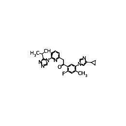 Cc1cc(F)c(C(=O)Cc2cccc(-n3cnnc3C(C)C)n2)cc1-n1cnc(C2CC2)c1